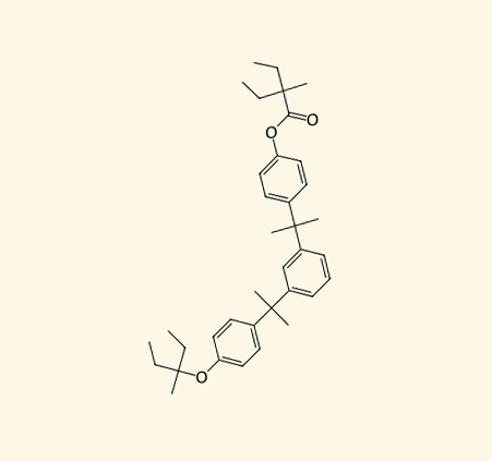 CCC(C)(CC)Oc1ccc(C(C)(C)c2cccc(C(C)(C)c3ccc(OC(=O)C(C)(CC)CC)cc3)c2)cc1